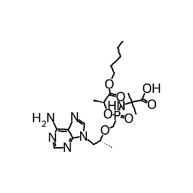 CCCCCOC(=O)[C@H](C)OP(=O)(CO[C@H](C)Cn1cnc2c(N)ncnc21)NC(C)(C)C(=O)O